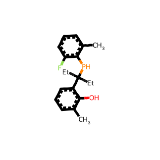 CCC(CC)(Pc1c(C)cccc1F)c1cccc(C)c1O